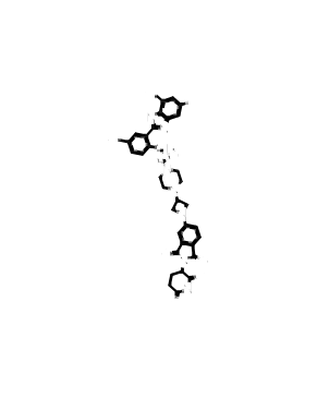 O=C1CCC(N2C(=O)c3ccc(N4CC(N5CCN(S(=O)(=O)Nc6ccc(Cl)cc6-c6nc7cc(C(F)(F)F)cc(Cl)c7[nH]6)CC5)C4)cc3C2=O)C(=O)N1